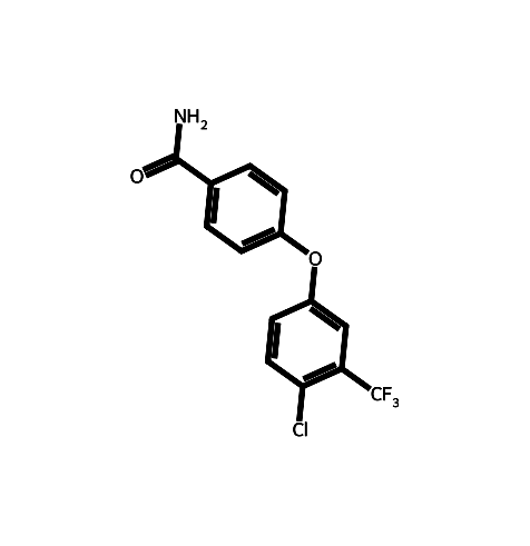 NC(=O)c1ccc(Oc2ccc(Cl)c(C(F)(F)F)c2)cc1